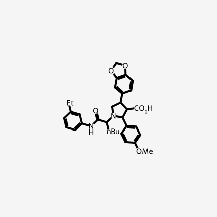 CCCCC(C(=O)Nc1cccc(CC)c1)N1CC(c2ccc3c(c2)OCO3)C(C(=O)O)C1c1ccc(OC)cc1